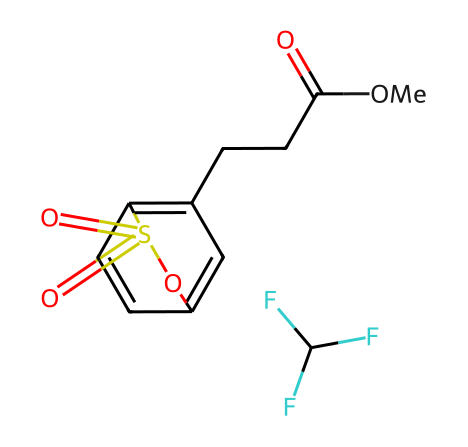 COC(=O)CCc1cc2ccc1S(=O)(=O)O2.FC(F)F